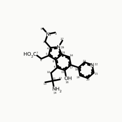 CN(C)Cc1c(CC(=O)O)c2c(CC(C)(C)N)c(O)c(-c3cccnc3)cc2n1C